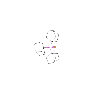 S=P(C12CCC(CC1)C2)(C12CCC(CC1)C2)C12CCC(CC1)C2